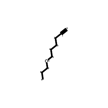 C#CC[CH]CCOCCC